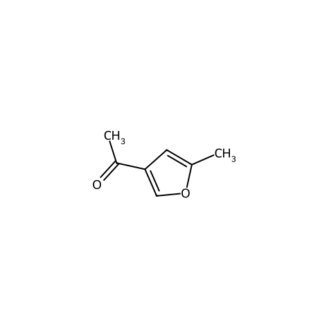 CC(=O)c1coc(C)c1